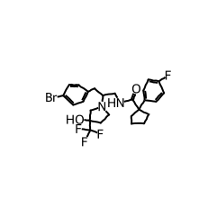 O=C(NCC(Cc1ccc(Br)cc1)N1CCC(O)(C(F)(F)F)C1)C1(c2ccc(F)cc2)CCCC1